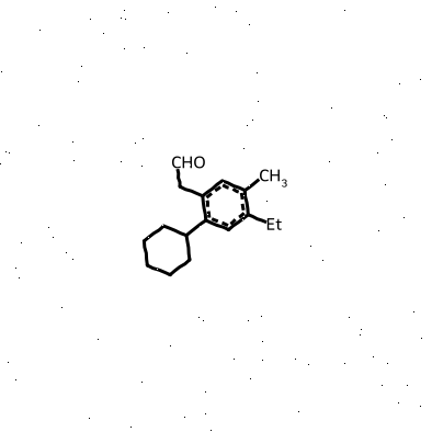 CCc1cc(C2CCCCC2)c(CC=O)cc1C